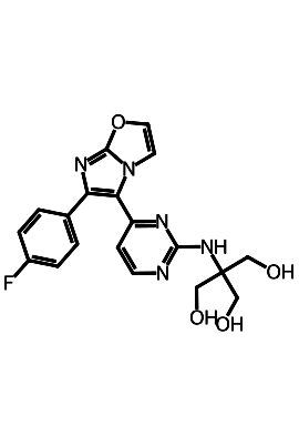 OCC(CO)(CO)Nc1nccc(-c2c(-c3ccc(F)cc3)nc3occn23)n1